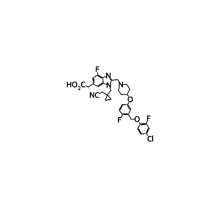 N#CCC1(Cn2c(CN3CCC(Oc4ccc(F)c(COc5ccc(Cl)cc5F)c4)CC3)nc3c(F)cc(CC(=O)O)cc32)CC1